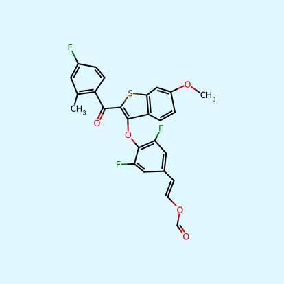 COc1ccc2c(Oc3c(F)cc(/C=C/OC=O)cc3F)c(C(=O)c3ccc(F)cc3C)sc2c1